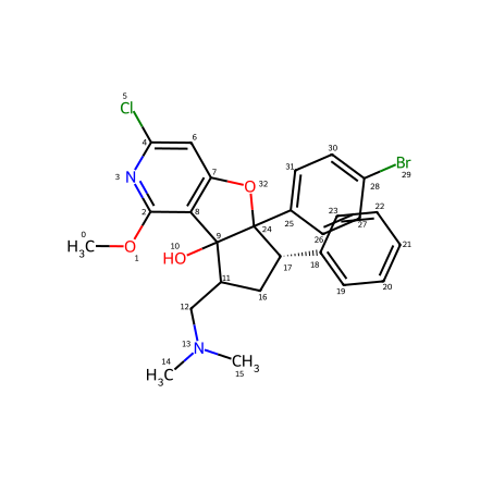 COc1nc(Cl)cc2c1C1(O)C(CN(C)C)C[C@@H](c3ccccc3)C1(c1ccc(Br)cc1)O2